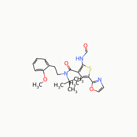 COc1ccccc1CCN(C(=O)c1c(NC=O)sc(-c2ncco2)c1C)C(C)(C)C